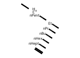 C.C=C.CC.CCC.CCCC.CCCCC.CCCCCC.CCCCCCC.CCCCCCCC